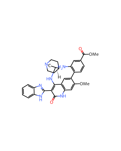 COC(=O)c1ccc(-c2cc3c(N[C@H]4CN5CCC4CC5)c(-c4nc5ccccc5[nH]4)c(=O)[nH]c3cc2OC)c(N)c1